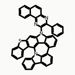 c1ccc(-c2nc3ccc4ccccc4c3nc2-n2c3cccc4c5cccc6c7ccccc7n(c56)c5c6c(cc2c5c43)sc2ccccc26)cc1